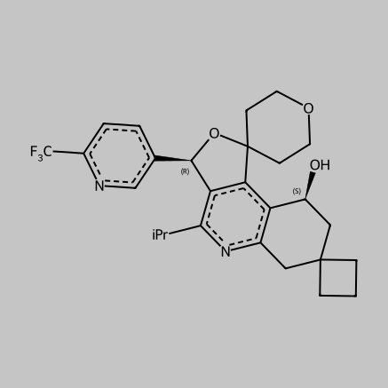 CC(C)c1nc2c(c3c1[C@@H](c1ccc(C(F)(F)F)nc1)OC31CCOCC1)[C@@H](O)CC1(CCC1)C2